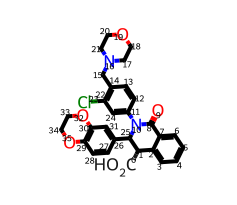 O=C(O)C1c2ccccc2C(=O)N(c2ccc(CN3CCOCC3)c(Cl)c2)C1c1ccc2c(c1)OCCO2